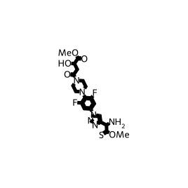 COC(=O)C(O)CC(=O)N1CCN(c2c(F)cc(-n3cc(C(N)C(=S)OC)nn3)cc2F)CC1